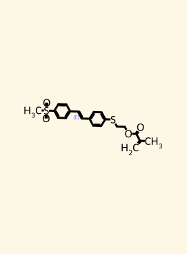 C=C(C)C(=O)OCCSc1ccc(/C=C/c2ccc(S(C)(=O)=O)cc2)cc1